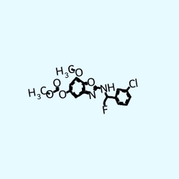 COC(=O)Oc1cc(OC)c2oc(NC(CF)c3cccc(Cl)c3)nc2c1